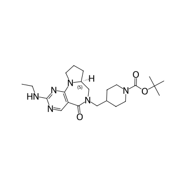 CCNc1ncc2c(n1)N1CCC[C@H]1CN(CC1CCN(C(=O)OC(C)(C)C)CC1)C2=O